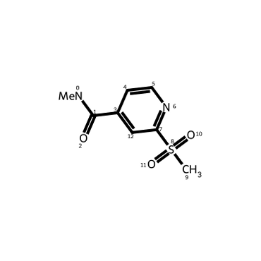 CNC(=O)c1ccnc(S(C)(=O)=O)c1